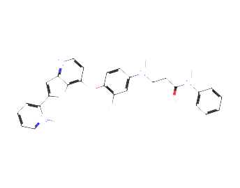 O=C(CCNc1ccc(Oc2ccnc3cc(-c4cccc[n+]4[O-])sc23)c(F)c1)Nc1ccccc1